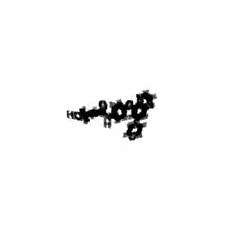 CC(C)(O)C#CC(=O)NC1CCC(Oc2cc(N3CCOCC3)cc3nccnc23)CC1